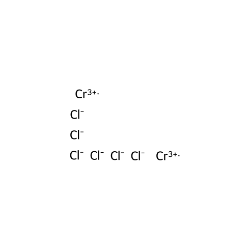 [Cl-].[Cl-].[Cl-].[Cl-].[Cl-].[Cl-].[Cr+3].[Cr+3]